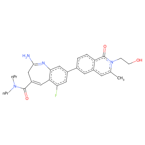 CCCN(CCC)C(=O)C1=Cc2c(F)cc(-c3ccc4c(=O)n(CCO)c(C)cc4c3)cc2N=C(N)C1